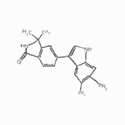 CC1(C)NC(=O)c2ccc(-c3c[nH]c4cc(P)c(P)cc34)cc21